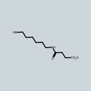 [NH]CCCCCCNC(=O)CCC(=O)O